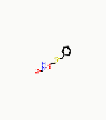 O=CNOCCSCc1ccccc1